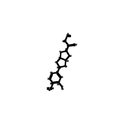 CC(C)(C)OC(=O)N1CC2CN(c3ccc(N)c(F)c3)CC2C1